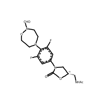 CC(=O)NC[C@H]1CN(c2cc(F)c(N3CCON(C=O)CC3)c(F)c2)C(=O)O1